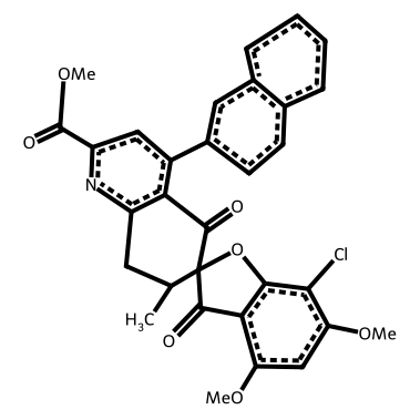 COC(=O)c1cc(-c2ccc3ccccc3c2)c2c(n1)CC(C)C1(Oc3c(Cl)c(OC)cc(OC)c3C1=O)C2=O